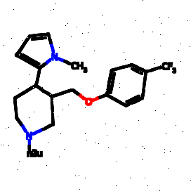 CCCCN1CCC(c2cccn2C)C(COc2ccc(C(F)(F)F)cc2)C1